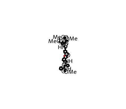 COC[C@H]1C[C@@H](c2ncc(-c3ccc4c(c3)COc3cc5c(ccc6nc([C@@H]7CCCC7C(=O)[C@H](NC(=O)OC)c7ccccc7)[nH]c65)cc3-4)[nH]2)N(C(=O)[C@@H](NC(=O)OC)[C@@H](C)OC)C1